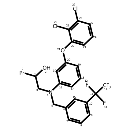 CC(C)C(O)CN(Cc1cccc(C(F)(F)C(F)(F)F)c1)c1cccc(Oc2cccc(Cl)c2Cl)c1